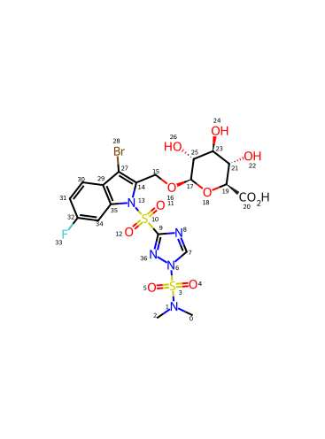 CN(C)S(=O)(=O)n1cnc(S(=O)(=O)n2c(CO[C@@H]3O[C@H](C(=O)O)[C@@H](O)[C@H](O)[C@H]3O)c(Br)c3ccc(F)cc32)n1